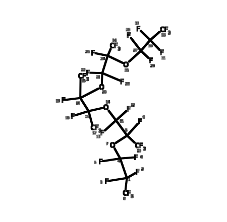 FC(F)(F)C(F)(F)C(F)(F)OC(F)(C(F)(F)F)C(F)(F)OC(F)(C(F)(F)F)C(F)(OC(F)(F)C(F)(OC(F)(F)C(F)(F)C(F)(F)F)C(F)(F)F)C(F)(F)F